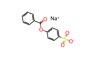 O=C(Oc1ccc(S(=O)(=O)[O-])cc1)c1ccccc1.[Na+]